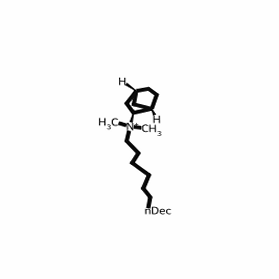 CCCCCCCCCCCCCCCC[N+](C)(C)[C@H]1C[C@@H]2CC[C@H]1C2